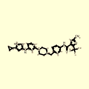 Cc1nc(C(=O)Nc2ccc(CN3CCN(c4nccc(Nc5cc(C6CC6)[nH]n5)n4)CC3)nc2)c(C(F)(F)F)o1